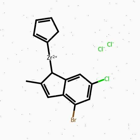 CC1=Cc2c(Br)cc(Cl)cc2[CH]1[Zr+2][C]1=CC=CC1.[Cl-].[Cl-]